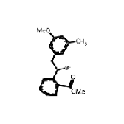 COC(=O)c1ccccc1C(Br)Cc1cc(C)cc(OC)c1